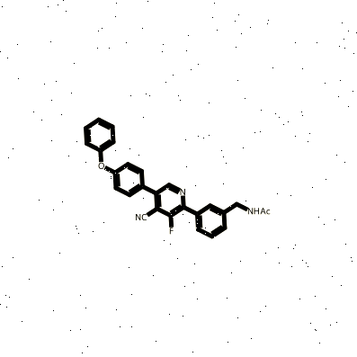 CC(=O)NCc1cccc(-c2ncc(-c3ccc(Oc4ccccc4)cc3)c(C#N)c2F)c1